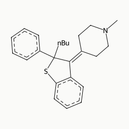 CCCCC1(c2ccccc2)Sc2ccccc2C1=C1CCN(C)CC1